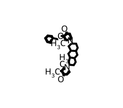 Cc1c(C)n(C2CCC3CC4CCC(n5ccc(=O)c(OCc6ccccc6)c5C)CC4CC3C2)ccc1=O